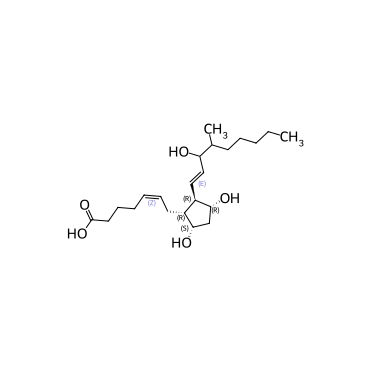 CCCCCC(C)C(O)/C=C/[C@@H]1[C@@H](C/C=C\CCCC(=O)O)[C@@H](O)C[C@H]1O